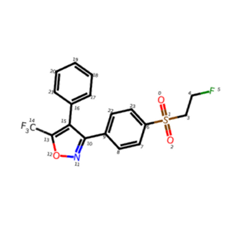 O=S(=O)(CCF)c1ccc(-c2noc(C(F)(F)F)c2-c2ccccc2)cc1